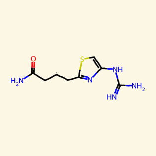 N=C(N)Nc1csc(C[CH]CC(N)=O)n1